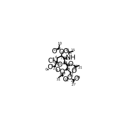 COC(=O)[C@]1(Cl)CC(OC(C)=O)[C@@H](NC(C)=O)[C@H]([C@H](OC(C)=O)[C@@H](COC(C)=O)OC(C)=O)O1